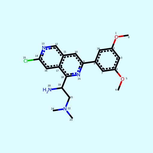 COc1cc(OC)cc(-c2cc3cnc(Cl)cc3c(C(N)CN(C)C)n2)c1